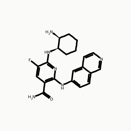 NC(=O)c1cc(F)c(N[C@@H]2CCCC[C@@H]2N)nc1Nc1ccc2cnccc2c1